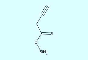 C#CCC(=S)O[SiH3]